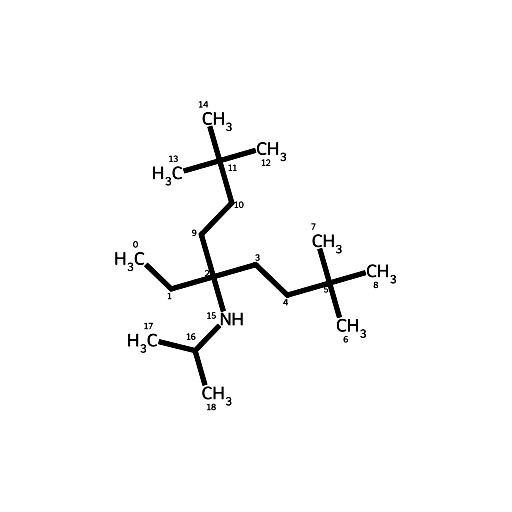 CCC(CCC(C)(C)C)(CCC(C)(C)C)NC(C)C